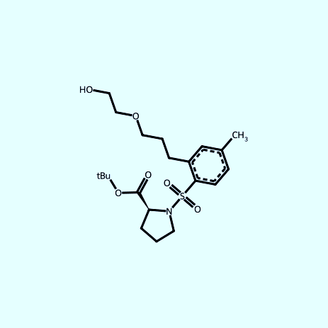 Cc1ccc(S(=O)(=O)N2CCC[C@H]2C(=O)OC(C)(C)C)c(CCCOCCO)c1